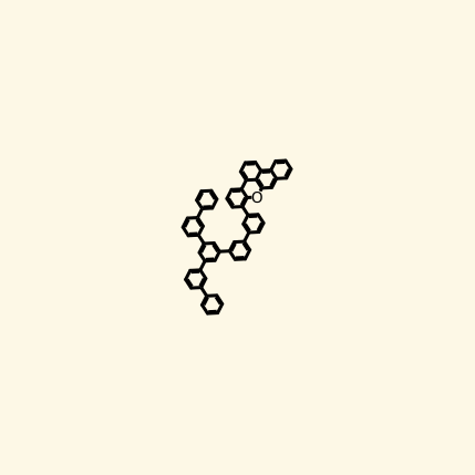 c1ccc(-c2cccc(-c3cc(-c4cccc(-c5ccccc5)c4)cc(-c4cccc(-c5cccc(-c6cccc7c6Oc6cc8ccccc8c8cccc-7c68)c5)c4)c3)c2)cc1